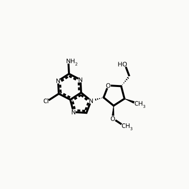 CO[C@@H]1[C@H](C)[C@@H](CO)O[C@H]1n1cnc2c(Cl)nc(N)nc21